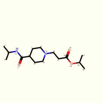 CC(C)NC(=O)C1CCN(CCC(=O)OC(C)C)CC1